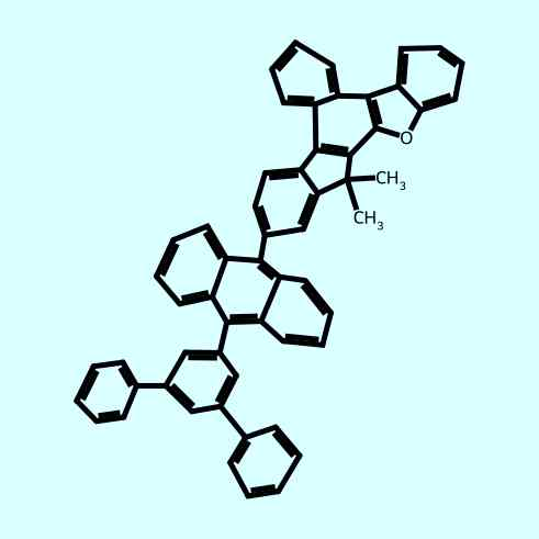 CC1(C)c2cc(-c3c4ccccc4c(-c4cc(-c5ccccc5)cc(-c5ccccc5)c4)c4ccccc34)ccc2-c2c1c1oc3ccccc3c1c1ccccc21